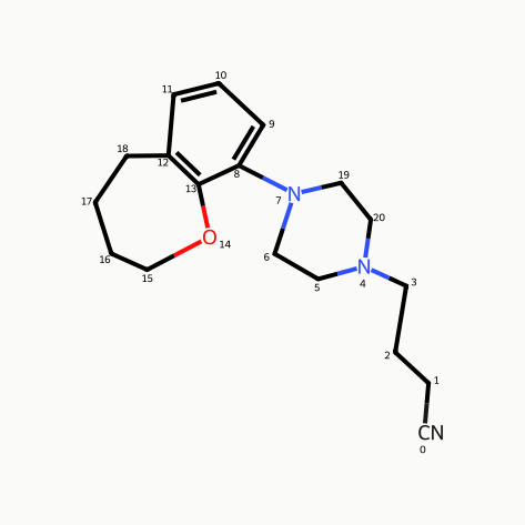 N#CCCCN1CCN(c2cccc3c2OCCCC3)CC1